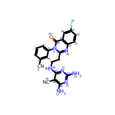 N#Cc1cccc(-n2c(CCNc3nc(N)nc(N)c3C#N)nc3ccc(F)cc3c2=O)c1